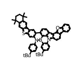 CC(C)(C)c1ccc(N2B3c4cc(C(C)(C)C)ccc4-n4c5ccc6c7ccccc7oc6c5c5ccc(c3c54)-c3cc4c(cc32)sc2cc3c(cc24)C(C)(C)CCC3(C)C)cc1